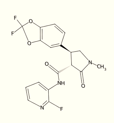 CN1C[C@H](c2ccc3c(c2)OC(F)(F)O3)[C@@H](C(=O)Nc2cccnc2F)C1=O